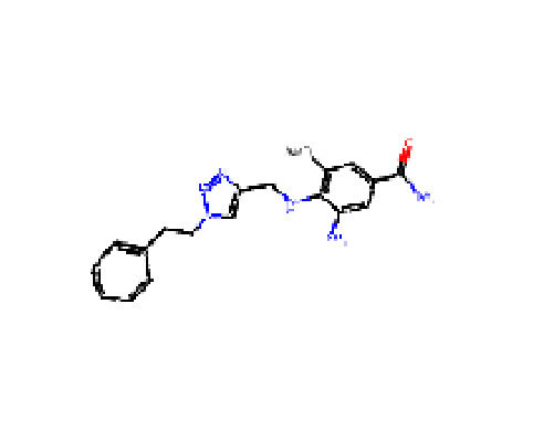 COc1cc(C(N)=O)cc(N)c1NCc1cn(CCc2ccccc2)nn1